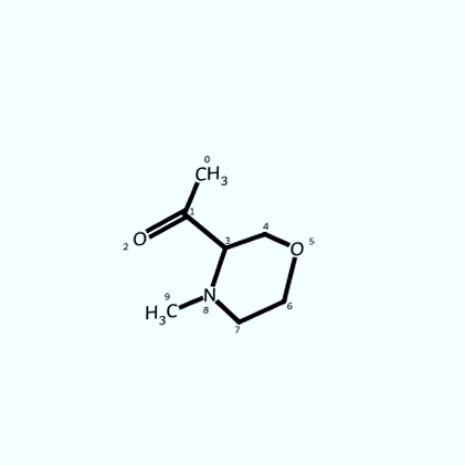 CC(=O)C1COCCN1C